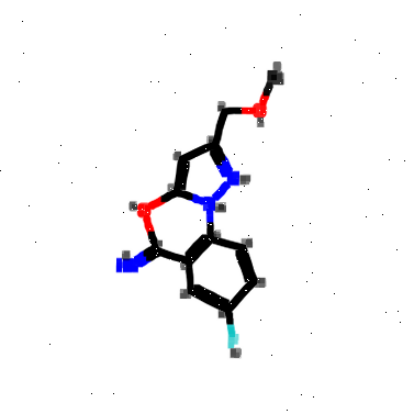 CCOCc1cc2oc(=N)c3cc(F)ccc3n2n1